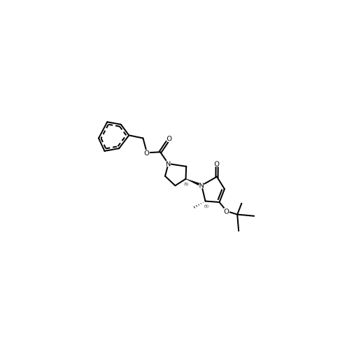 C[C@H]1C(OC(C)(C)C)=CC(=O)N1[C@H]1CCN(C(=O)OCc2ccccc2)C1